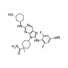 CC1(C(N)=O)CCC(n2c(Nc3c(F)cc(C#N)cc3F)nc3cnc(N[C@@H]4CCC[C@@H](O)C4)nc32)CC1